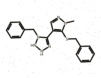 Cn1ncc(C2=NNNN2Cc2ccccc2)c1SCc1ccccc1